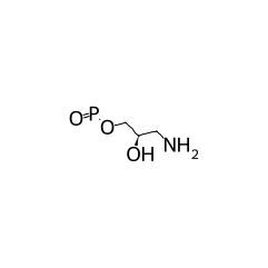 NC[C@@H](O)COP=O